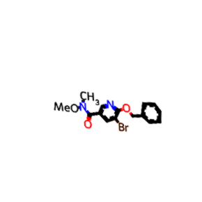 CON(C)C(=O)c1cnc(OCc2ccccc2)c(Br)c1